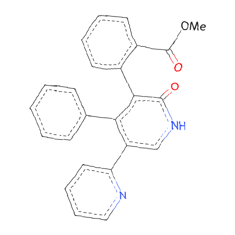 COC(=O)c1ccccc1-c1c(-c2ccccc2)c(-c2ccccn2)c[nH]c1=O